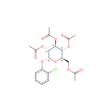 CC(=O)OC[C@H]1O[C@H](Oc2ccccc2Cl)[C@H](OC(C)=O)[C@@H](OC(C)=O)[C@@H]1OC(C)=O